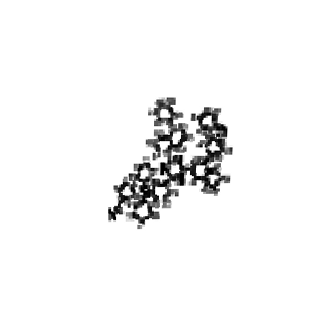 N#Cc1cccc([Si](c2ccccc2)(c2ccccc2)c2cccc(-c3nc(-c4cc(-c5ccc6oc7ccccc7c6c5)c5ccccc5c4)nc(-c4cccc5c(-c6ccccc6)cccc45)n3)c2)c1